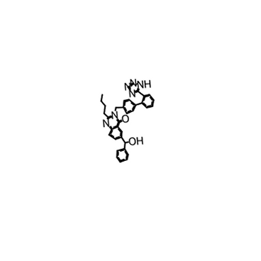 CCCCc1nc2ccc(C(O)c3ccccc3)cc2c(=O)n1Cc1ccc(-c2ccccc2-c2nnn[nH]2)cc1